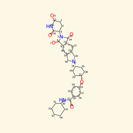 O=C1CCC(N2C(=O)c3cc4c(cc3C2=O)CN([C@H]2CC[C@H](Oc3ccc(C(=O)NC5CCCCC5)cc3)CC2)C4)C(=O)N1